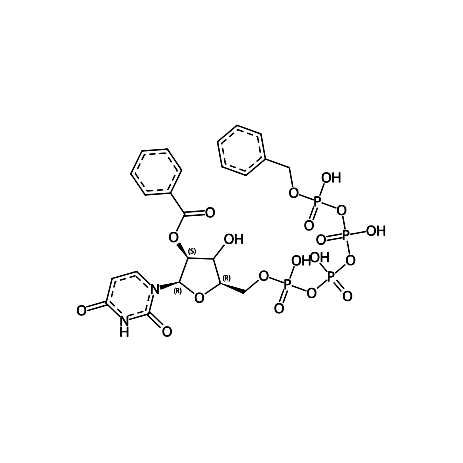 O=C(O[C@H]1C(O)[C@@H](COP(=O)(O)OP(=O)(O)OP(=O)(O)OP(=O)(O)OCc2ccccc2)O[C@H]1n1ccc(=O)[nH]c1=O)c1ccccc1